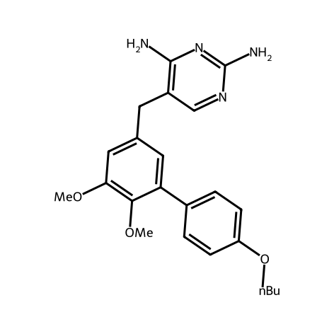 CCCCOc1ccc(-c2cc(Cc3cnc(N)nc3N)cc(OC)c2OC)cc1